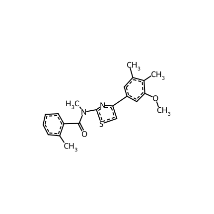 COc1cc(-c2csc(N(C)C(=O)c3ccccc3C)n2)cc(C)c1C